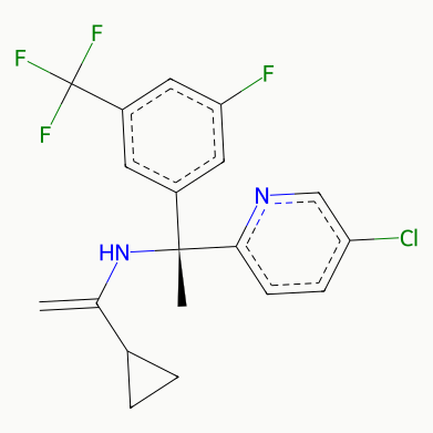 C=C(N[C@](C)(c1cc(F)cc(C(F)(F)F)c1)c1ccc(Cl)cn1)C1CC1